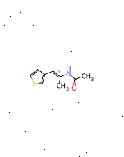 CC(=O)N/C(C)=C/c1ccsc1